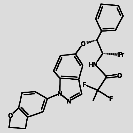 CC(C)[C@H](NC(=O)C(C)(F)F)[C@H](Oc1ccc2c(cnn2-c2ccc3c(c2)CCO3)c1)c1ccccc1